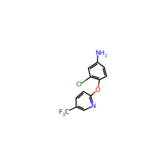 Nc1ccc(Oc2ccc(C(F)(F)F)cn2)c(Cl)c1